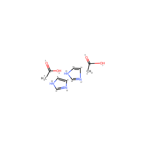 CC(=O)O.CC(=O)O.c1c[nH]cn1.c1c[nH]cn1